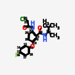 CC(C)[C@H](C)NC(=O)c1cc(Oc2ccc(F)cc2)ccc1NC(=O)CCl